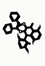 Cc1c(I)ccc(I)c1C1c2c(I)ccc(I)c2C(C)C(OC(=O)c2ccccc2)C1OC(=O)c1ccccc1